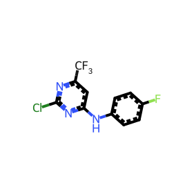 Fc1ccc(Nc2cc(C(F)(F)F)nc(Cl)n2)cc1